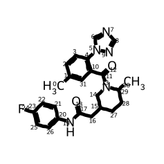 Cc1ccc(-n2cncn2)c(C(=O)N2CC(CC(=O)Nc3ccc(F)cc3)CCC2C)c1